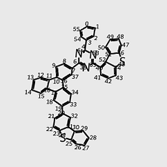 c1ccc(-c2nc(-c3ccc4c5ccccc5c5cc(-c6ccc7sc8ccccc8c7c6)ccc5c4c3)nc(-c3cccc4sc5ccccc5c34)n2)cc1